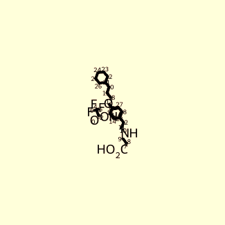 O=C(O)C(F)(F)F.O=C(O)CCNCCc1ccc(OCCCC2CCCCC2)cc1